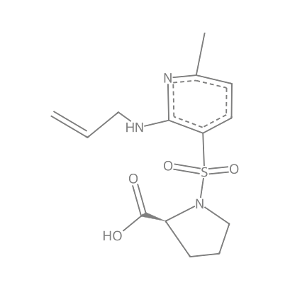 C=CCNc1nc(C)ccc1S(=O)(=O)N1CCC[C@H]1C(=O)O